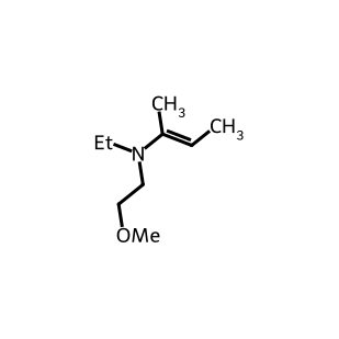 C/C=C(\C)N(CC)CCOC